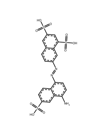 Nc1ccc(N=Nc2ccc3cc(S(=O)(=O)O)cc(S(=O)(=O)O)c3c2)c2ccc(S(=O)(=O)O)cc12